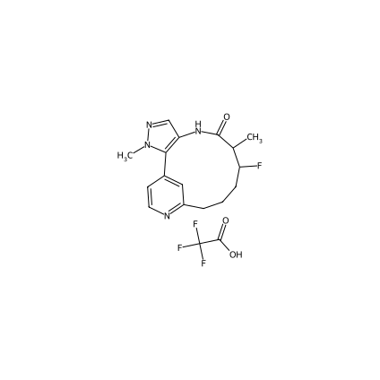 CC1C(=O)Nc2cnn(C)c2-c2ccnc(c2)CCCC1F.O=C(O)C(F)(F)F